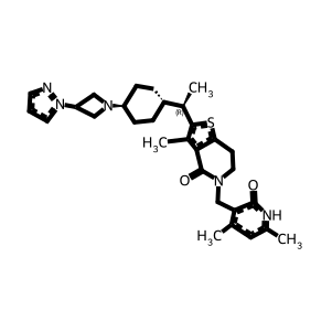 Cc1cc(C)c(CN2CCc3sc([C@H](C)[C@H]4CC[C@H](N5CC(n6cccn6)C5)CC4)c(C)c3C2=O)c(=O)[nH]1